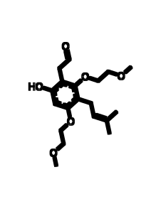 COCCOc1cc(O)c(CC=O)c(OCCOC)c1CC=C(C)C